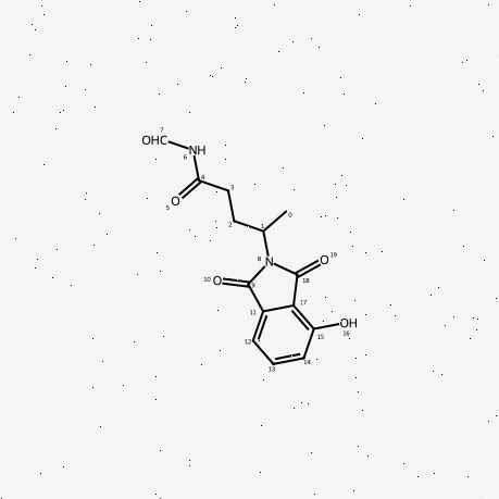 CC(CCC(=O)NC=O)N1C(=O)c2cccc(O)c2C1=O